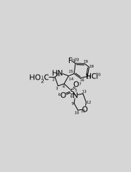 Cl.O=C(O)C1CC(S(=O)(=O)N2CCOCC2)C(c2ccccc2F)N1